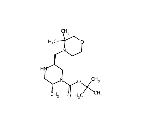 C[C@@H]1CN[C@@H](CN2CCOCC2(C)C)CN1C(=O)OC(C)(C)C